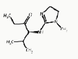 CCC(=O)[C@@H](NC1=NCCN1C)C(C)C